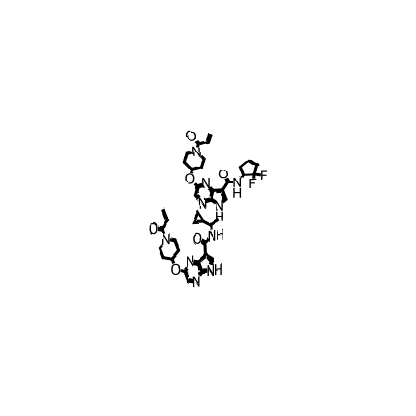 C=CC(=O)N1CCC(Oc2cnc3[nH]cc(C(=O)NC(C)C4CC4)c3n2)CC1.C=CC(=O)N1CCC(Oc2cnc3[nH]cc(C(=O)NC4CCCC4(F)F)c3n2)CC1